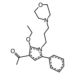 CCOc1c(C(C)=O)cc(-c2ccccc2)n1CCCN1CCOCC1